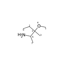 CCC(C)(OC)C(C)N